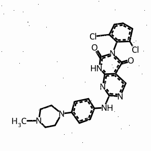 CN1CCN(c2ccc(Nc3ncc4c(=O)n(-c5c(Cl)cccc5Cl)c(=O)[nH]c4n3)cc2)CC1